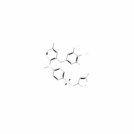 COc1cc(Cc2cc(C)nnc2B(C)c2ccc(S(=O)(=O)NC3C=C(C)ON3)cc2)cc(OC)c1OC